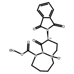 CC(C)(C)OC(=O)N1CCCC[N+]2([O-])CC[C@H](N3C(=O)c4ccccc4C3=O)C(=O)N12